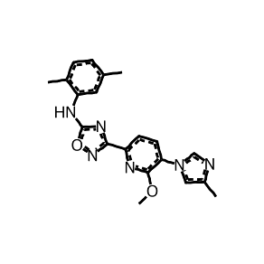 COc1nc(-c2noc(Nc3cc(C)ccc3C)n2)ccc1-n1cnc(C)c1